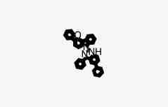 C1=CCCC(c2ccc3c(c2)C(c2ccccc2)=NC(n2c4ccccc4c4c5oc6ccccc6c5ccc42)N3)=C1